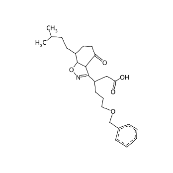 CC(C)CCC1CCC(=O)C2C(C(CCCOCc3ccccc3)CC(=O)O)=NOC12